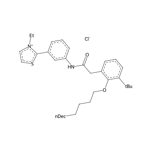 CCCCCCCCCCCCCCOc1c(CC(=O)Nc2cccc(-c3scc[n+]3CC)c2)cccc1C(C)(C)C.[Cl-]